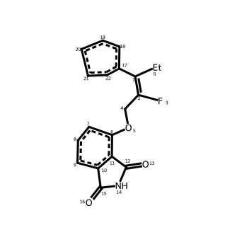 CCC(=C(F)COc1cccc2c1C(=O)NC2=O)c1ccccc1